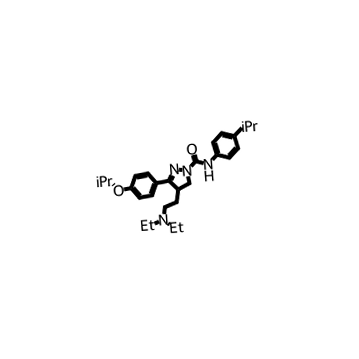 CCN(CC)CCC1CN(C(=O)Nc2ccc(C(C)C)cc2)N=C1c1ccc(OC(C)C)cc1